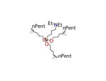 CCCCC/C=C\CCCO[Si](CCCCN(CC)CC)(OCCC/C=C\CCCCC)OCCC/C=C\CCCCC